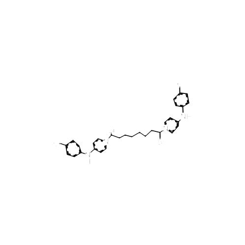 Clc1ccc(Nc2cc[n+](C(Br)CCCCCCC(Br)[n+]3ccc(Nc4ccc(Cl)cc4)cc3)cc2)cc1